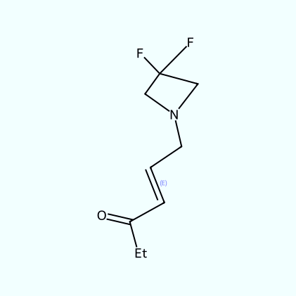 CCC(=O)/C=C/CN1CC(F)(F)C1